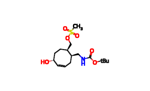 CC(C)(C)OC(=O)NC[C@H]1C/C=C\[C@H](O)CC[C@H]1COS(C)(=O)=O